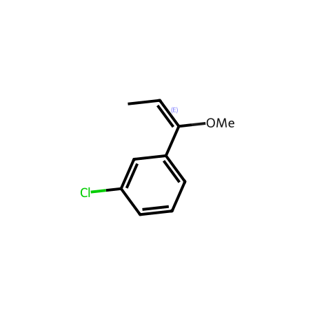 C/C=C(/OC)c1cccc(Cl)c1